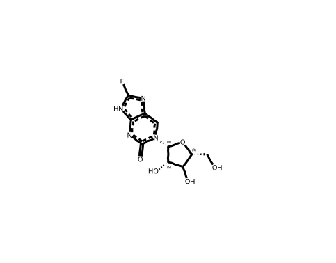 O=c1nc2[nH]c(F)nc2cn1[C@@H]1O[C@H](CO)C(O)[C@@H]1O